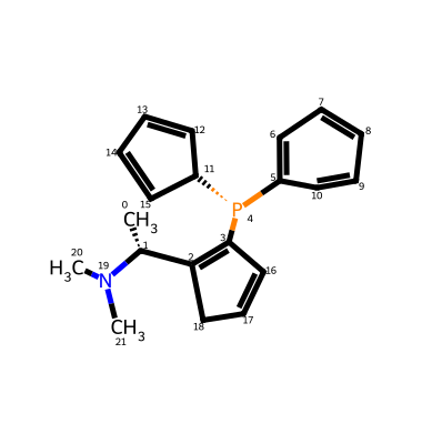 C[C@H](C1=C([P@@](c2ccccc2)C2C=CC=C2)C=CC1)N(C)C